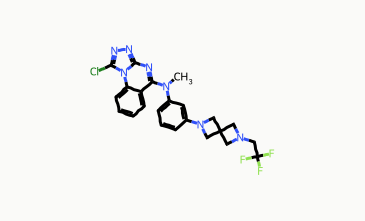 CN(c1cccc(N2CC3(CN(CC(F)(F)F)C3)C2)c1)c1nc2nnc(Cl)n2c2ccccc12